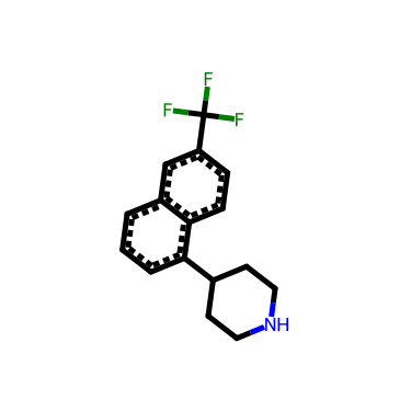 FC(F)(F)c1ccc2c(C3CCNCC3)cccc2c1